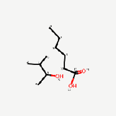 CC(C)C(C)O.CCCCCC(=O)O